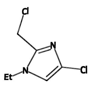 CCn1cc(Cl)nc1CCl